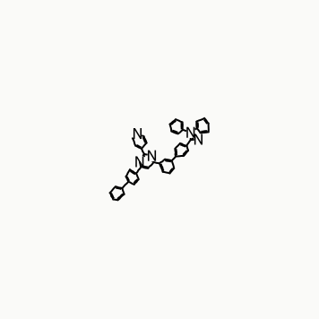 c1ccc(-c2ccc(-c3cc(-c4cccc(-c5ccc(-c6nc7ccccc7n6-c6ccccc6)cc5)c4)nc(-c4ccncc4)n3)cc2)cc1